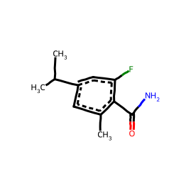 Cc1cc(C(C)C)cc(F)c1C(N)=O